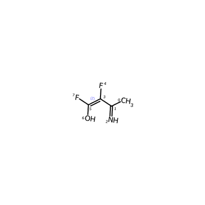 CC(=N)/C(F)=C(\O)F